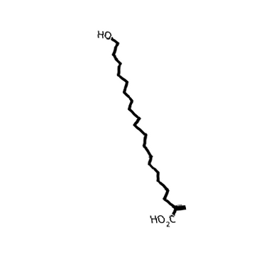 C=C(CCCCCCCCCCCCCCCCCCO)C(=O)O